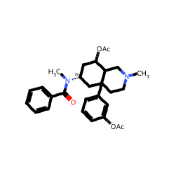 CC(=O)Oc1cccc(C23CCN(C)CC2C(OC(C)=O)C[C@@H](N(C)C(=O)c2ccccc2)C3)c1